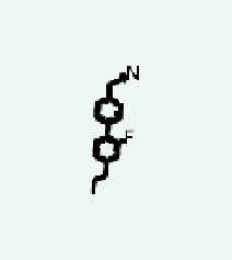 CCCc1ccc(-c2ccc(CC#N)cc2)c(F)c1